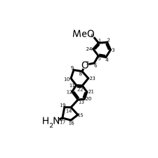 COc1cccc(COC2CCc3cc(C4CCC(N)C4)ccc3C2)c1